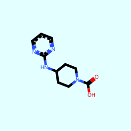 O=C(O)N1CCC(Nc2ncccn2)CC1